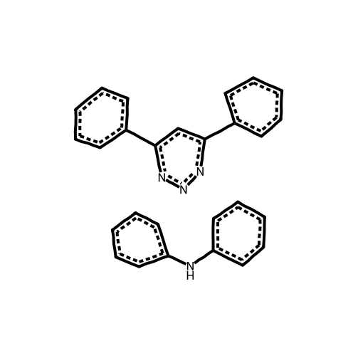 c1ccc(-c2cc(-c3ccccc3)nnn2)cc1.c1ccc(Nc2ccccc2)cc1